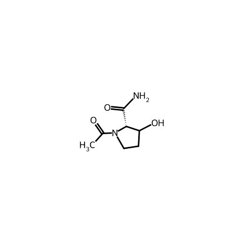 CC(=O)N1CCC(O)[C@H]1C(N)=O